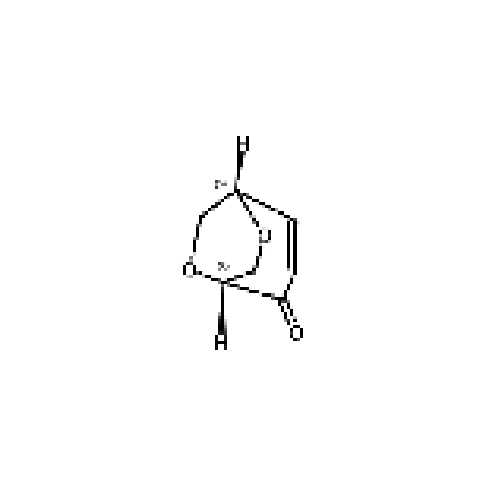 O=C1C=C[C@H]2CO[C@@H]1CO2